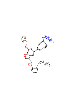 CCOC(=O)Cc1ccccc1OCc1coc2c(OCc3nccs3)cc(-c3cccc(CN)c3)cc12